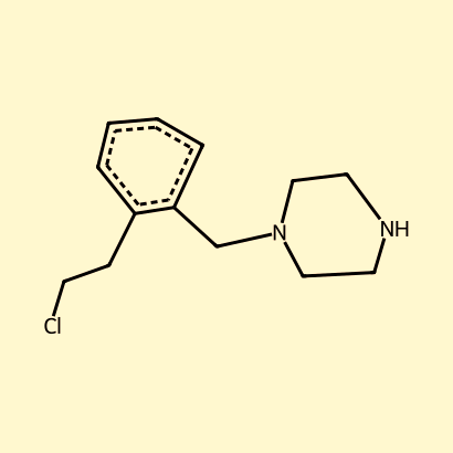 ClCCc1ccccc1CN1CCNCC1